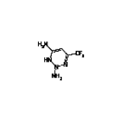 NC1=CC(C(F)(F)F)=NN(N)N1